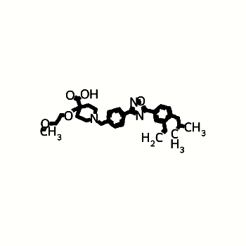 C=Cc1cc(-c2nc(-c3ccc(CN4CCC(COCCOC)(C(=O)O)CC4)cc3)no2)ccc1CC(C)C